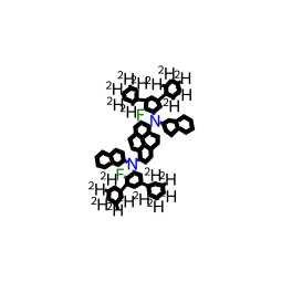 [2H]c1c([2H])c([2H])c(-c2cc(-c3c([2H])c([2H])c([2H])c([2H])c3[2H])c(F)c(N(c3ccc4ccccc4c3)c3ccc4ccc5c(N(c6ccc7ccccc7c6)c6cc(-c7c([2H])c([2H])c([2H])c([2H])c7[2H])cc(-c7c([2H])c([2H])c([2H])c([2H])c7[2H])c6F)ccc6ccc3c4c65)c2)c([2H])c1[2H]